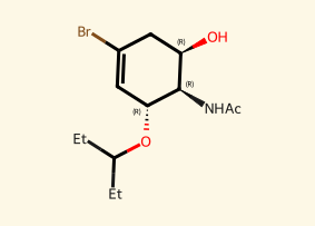 CCC(CC)O[C@@H]1C=C(Br)C[C@@H](O)[C@H]1NC(C)=O